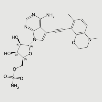 Cc1ccc2c(c1C#Cc1cn([C@@H]3O[C@@H](COS(N)(=O)=O)[C@@H](O)[C@H]3O)c3ncnc(N)c13)OCCN2C